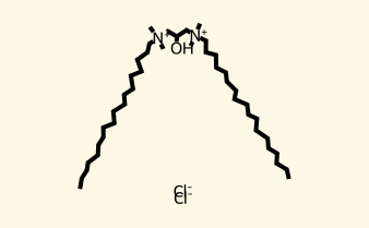 CCCCCCCCCCCCCCCCCC[N+](C)(C)CC(O)C[N+](C)(C)CCCCCCCCCCCCCCCCCC.[Cl-].[Cl-]